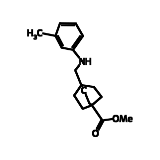 COC(=O)C12CCC(CNc3cccc(C)c3)(CC1)CC2